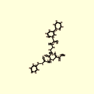 CC(C)(C)NC(=O)CC(NC(=O)CCc1ccccc1)C(=O)NCCNC(=O)c1cc(-c2ccccc2)ccn1